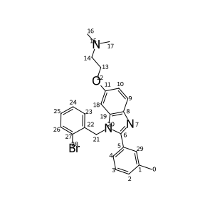 Cc1cccc(-c2nc3ccc(OCCN(C)C)cc3n2Cc2ccccc2Br)c1